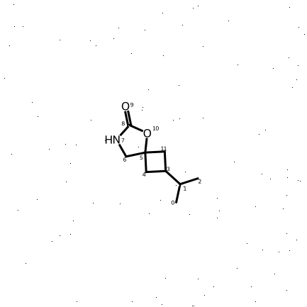 CC(C)C1CC2(CNC(=O)O2)C1